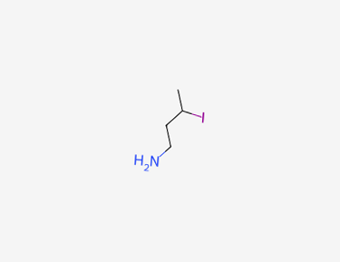 CC(I)CCN